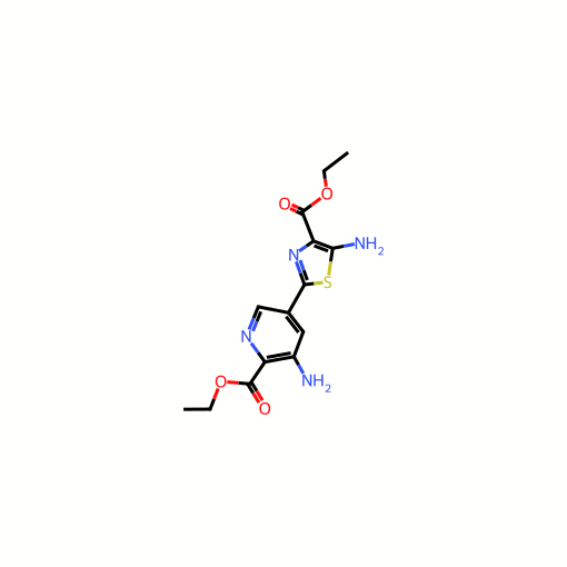 CCOC(=O)c1ncc(-c2nc(C(=O)OCC)c(N)s2)cc1N